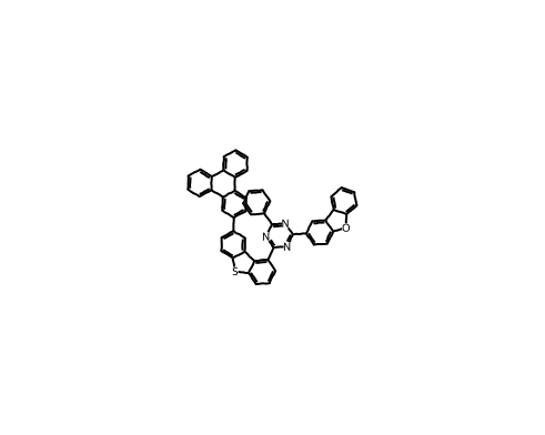 c1ccc(-c2nc(-c3ccc4oc5ccccc5c4c3)nc(-c3cccc4sc5ccc(-c6ccc7c8ccccc8c8ccccc8c7c6)cc5c34)n2)cc1